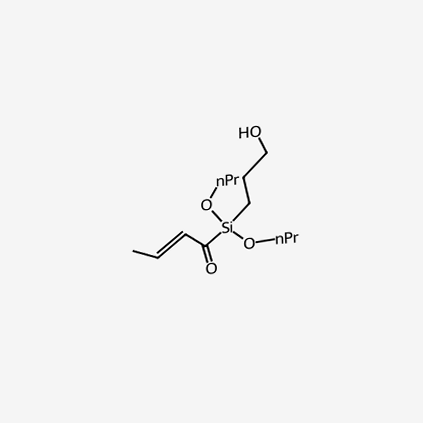 CC=CC(=O)[Si](CCCO)(OCCC)OCCC